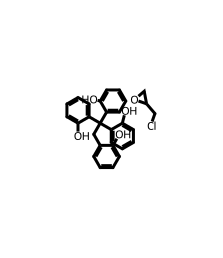 ClCC1CO1.Oc1ccccc1CC(c1ccccc1O)(c1ccccc1O)c1ccccc1O